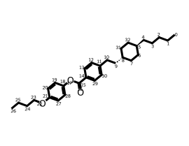 CCCCC[C@H]1CC[C@H](CCc2ccc(C(=O)Oc3ccc(OCCCC)cc3)cc2)CC1